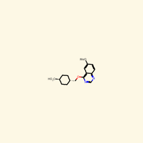 COc1ccc2ncnc(OC[C@H]3CC[C@H](C(=O)O)CC3)c2c1